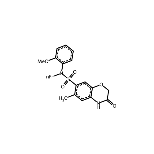 CCCN(c1ccccc1OC)S(=O)(=O)c1cc2c(cc1C)NC(=O)CO2